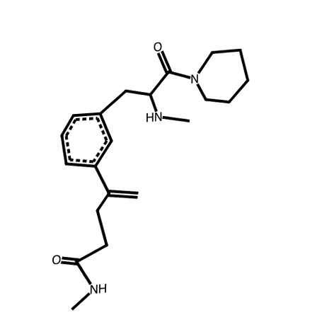 C=C(CCC(=O)NC)c1cccc(CC(NC)C(=O)N2CCCCC2)c1